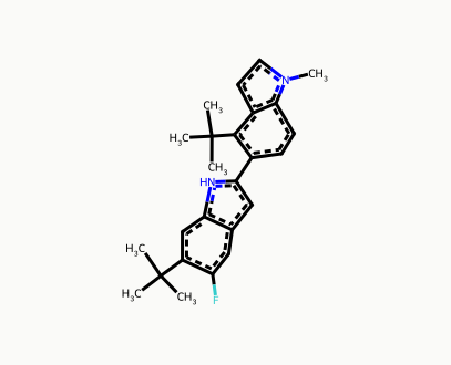 Cn1ccc2c(C(C)(C)C)c(-c3cc4cc(F)c(C(C)(C)C)cc4[nH]3)ccc21